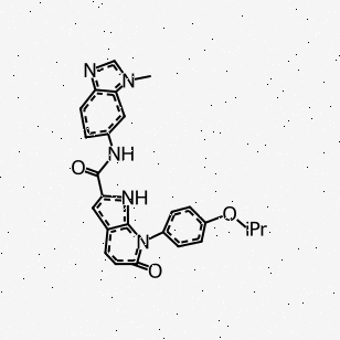 CC(C)Oc1ccc(-n2c(=O)ccc3cc(C(=O)Nc4ccc5ncn(C)c5c4)[nH]c32)cc1